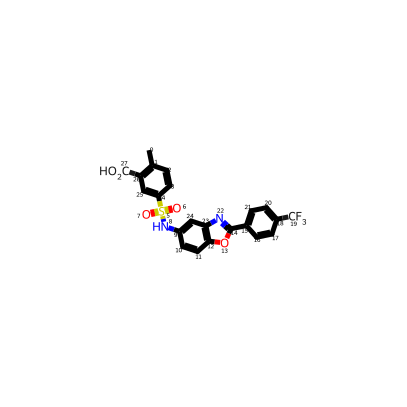 Cc1ccc(S(=O)(=O)Nc2ccc3oc(-c4ccc(C(F)(F)F)cc4)nc3c2)cc1C(=O)O